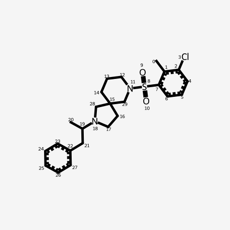 Cc1c(Cl)cccc1S(=O)(=O)N1CCCC2(CCN(C(C)Cc3ccccc3)C2)C1